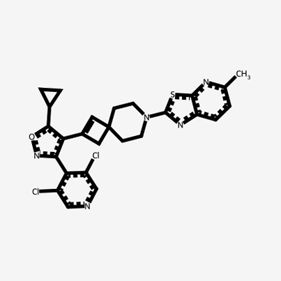 Cc1ccc2nc(N3CCC4(C=C(c5c(-c6c(Cl)cncc6Cl)noc5C5CC5)C4)CC3)sc2n1